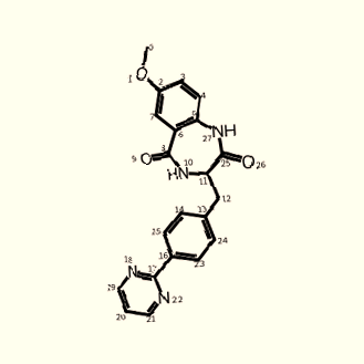 COc1ccc2c(c1)C(=O)NC(Cc1ccc(-c3ncccn3)cc1)C(=O)N2